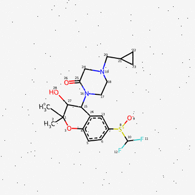 CC1(C)Oc2ccc([S+]([O-])C(F)F)cc2C(N2CCN(CC3CC3)CC2=O)C1O